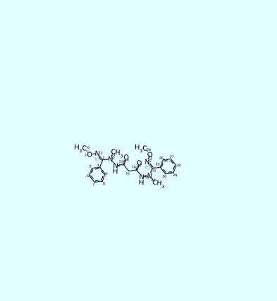 CO/N=C(\c1ccccc1)N(C)NC(=O)CC(=O)NN(C)/C(=N/OC)c1ccccc1